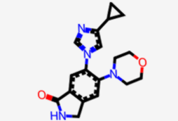 O=C1NCc2cc(N3CCOCC3)c(-n3cnc(C4CC4)c3)cc21